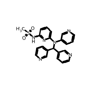 CS(=O)(=O)Nc1cccc(N(c2cccnc2)C(c2cccnc2)c2cccnc2)n1